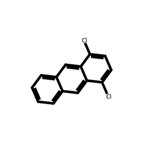 Clc1ccc(Cl)c2cc3ccccc3cc12